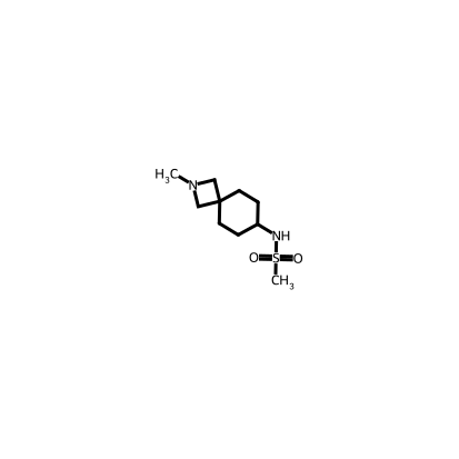 CN1CC2(CCC(NS(C)(=O)=O)CC2)C1